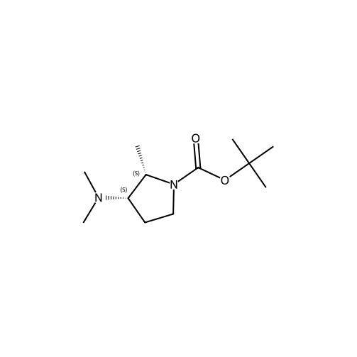 C[C@H]1[C@@H](N(C)C)CCN1C(=O)OC(C)(C)C